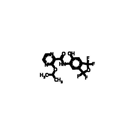 CC(C)Oc1nccnc1C(=O)Nc1cc2c(cc1O)C(F)(F)OC2(F)F